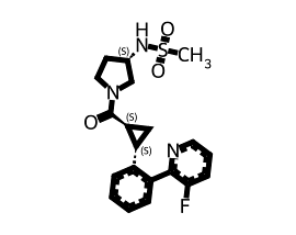 CS(=O)(=O)N[C@H]1CCN(C(=O)[C@H]2C[C@@H]2c2ccccc2-c2ncccc2F)C1